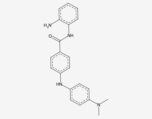 CN(C)c1ccc(Nc2ccc(C(=O)Nc3ccccc3N)cc2)cc1